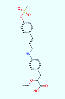 CCOC(Cc1ccc(NC/C=C/c2ccc(OS(C)(=O)=O)cc2)cc1)C(=O)O